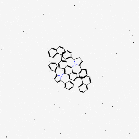 C1=CC(C2CC=C(c3ccccc3)N2c2c3cc(-c4cccc5ccccc45)ccc3c(-n3c(-c4ccccc4)ccc3-c3ccccc3)c3ccc(-c4cccc5ccccc45)cc23)=CCC1